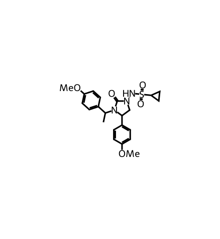 COc1ccc(C(C)N2C(=O)N(NS(=O)(=O)C3CC3)CC2c2ccc(OC)cc2)cc1